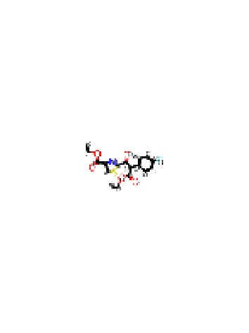 CCOC(=O)c1csc(C(=O)C(C(=O)OCC)c2ccc(F)cc2)n1